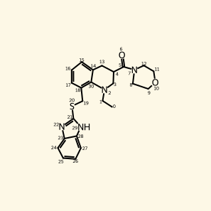 CCN1CC(C(=O)N2CCOCC2)Cc2cccc(CSc3nc4ccccc4[nH]3)c21